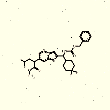 COC(=O)C(CC(F)F)c1cnn2cc(C(NC(=O)OCc3ccccc3)C3CCC(F)(F)CC3)nc2c1